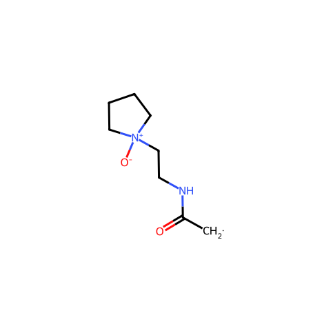 [CH2]C(=O)NCC[N+]1([O-])CCCC1